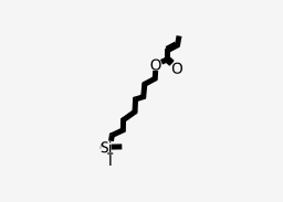 CC=CC(=O)OCCCCCCCC[Si](C)(C)I